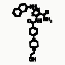 NC(=O)c1nc(Nc2ccc3ccccc3c2)sc1NC(=O)c1ccc(N2CCN(CCO)CC2)cc1